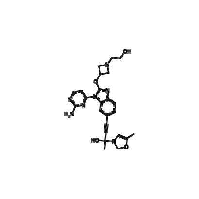 CC1=CN(C(C)(O)C#Cc2ccc3nc(OC4CN(CCO)C4)n(-c4ccnc(N)n4)c3c2)CO1